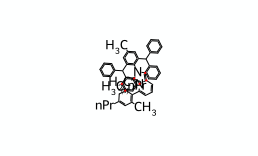 C=C1N2C(=CN1c1c(C(c3ccccc3)c3ccccc3)cc(C)cc1C(c1ccccc1)c1ccccc1)C=CC=C2C1=C(C)C=C(CCC)C[C@]1(C)CCC